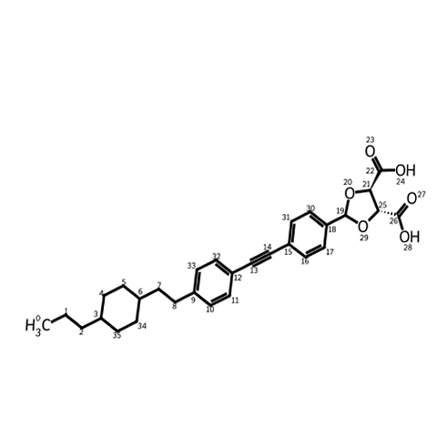 CCCC1CCC(CCc2ccc(C#Cc3ccc(C4O[C@@H](C(=O)O)[C@H](C(=O)O)O4)cc3)cc2)CC1